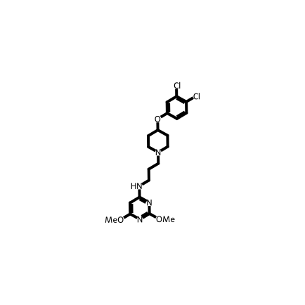 COc1cc(NCCCN2CCC(Oc3ccc(Cl)c(Cl)c3)CC2)nc(OC)n1